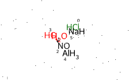 Cl.O.O=NO.[AlH3].[NaH]